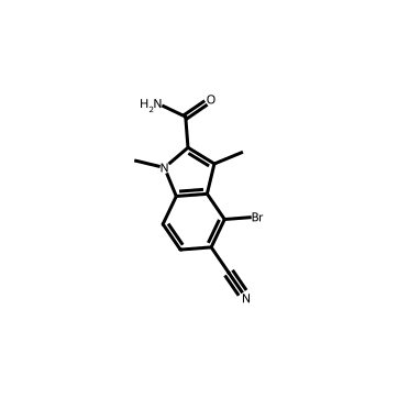 Cc1c(C(N)=O)n(C)c2ccc(C#N)c(Br)c12